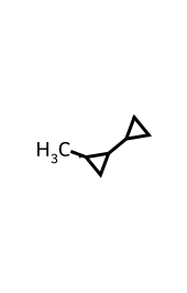 C[C]1CC1C1CC1